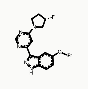 CC(C)Oc1ccc2[nH]nc(-c3cc(N4CC[C@H](F)C4)ncn3)c2c1